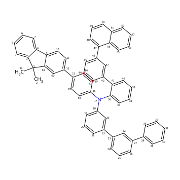 CC1(C)c2ccccc2-c2ccc(-c3ccc(N(c4cccc(-c5cccc(-c6ccccc6)c5)c4)c4ccccc4-c4cccc(-c5cccc6ccccc56)c4)cc3)cc21